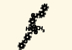 COC(=O)[C@H](CCc1ccc(OCc2ccccc2)cc1)NC(=O)CC1CCN(C(=O)CCc2cccc(-c3ccncc3)c2)CC1